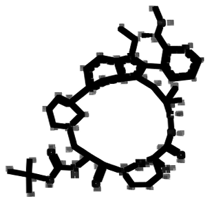 CCn1c(-c2cccnc2[C@H](C)OC)c2c3cc(ccc31)C1=CCCN(C1)CC(NC(=O)OC(C)(C)C)C(=O)N1CCC[C@H](N1)C(=O)OCC(C)(C)C2